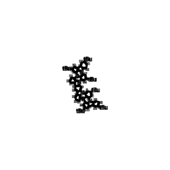 CC(C)(C)c1cc2c3c(c1)-n1c4cc5c(cc4c4cccc(c41)B3c1cc(C(C)(C)C)cc3c4cc(C(C)(C)C)ccc4n-2c13)c1cccc2c1n5-c1cc(C(C)(C)C)cc3c1B2c1cc(C(C)(C)C)cc2c4cc(C(C)(C)C)ccc4n-3c12